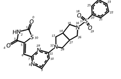 O=C1NC(=O)C(=Cc2nccc(N3CC4CN(S(=O)(=O)c5ccccc5)CC4C3)n2)S1